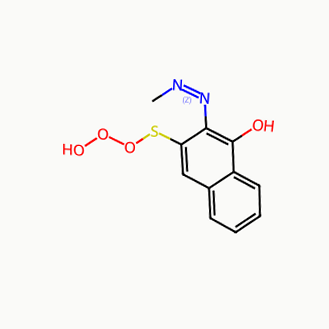 C/N=N\c1c(SOOO)cc2ccccc2c1O